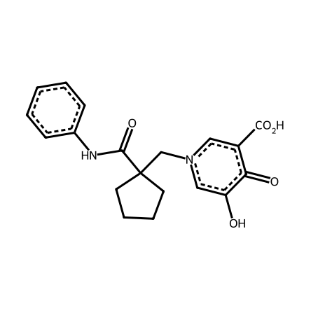 O=C(O)c1cn(CC2(C(=O)Nc3ccccc3)CCCC2)cc(O)c1=O